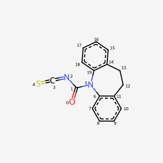 O=C(N=C=S)N1c2ccccc2CCc2ccccc21